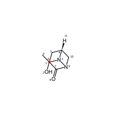 CC(O)N1[C@@H]2CCC(=O)N1C2